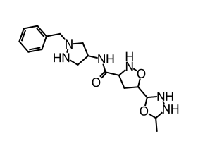 CC1NNC(C2CC(C(=O)NC3CNN(Cc4ccccc4)C3)NO2)O1